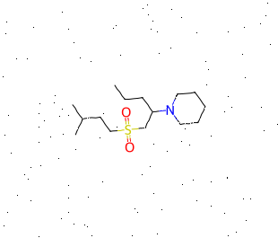 CCCC(CS(=O)(=O)CCC(C)C)N1CCCCC1